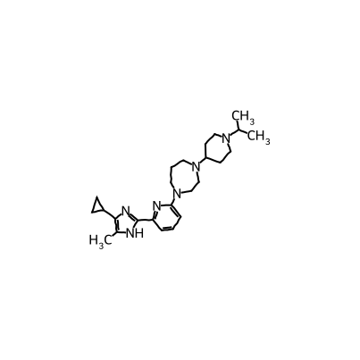 Cc1[nH]c(-c2cccc(N3CCCN(C4CCN(C(C)C)CC4)CC3)n2)nc1C1CC1